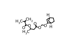 C=C(C)C(=O)OC(C)CC(=O)OCOC1C[C@H]2CC[C@@H]1C2